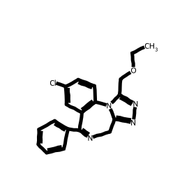 CCOCc1nnc2n1-c1ccc(Cl)cc1C(c1ccccc1)=NC2